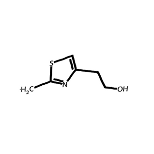 [CH2]c1nc(CCO)cs1